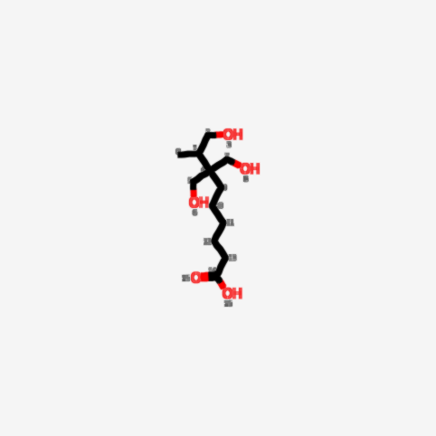 CC(CO)C(CO)(CO)CCCCCC(=O)O